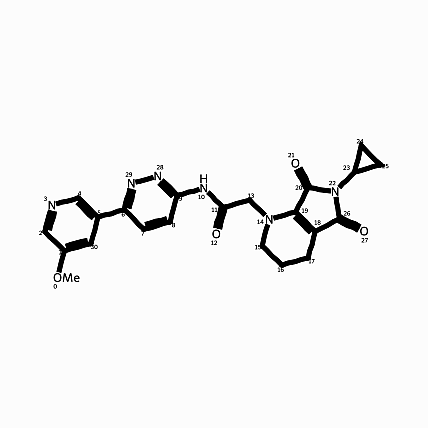 COc1cncc(-c2ccc(NC(=O)CN3CCCC4=C3C(=O)N(C3CC3)C4=O)nn2)c1